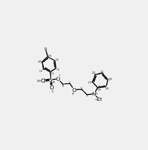 CCN(CCOCCOS(=O)(=O)c1ccc(C)cc1)c1ccccc1